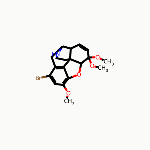 COc1cc(Br)c2c3c1OC1C(OC)(OC)C=CC4C(C2)NCCC341